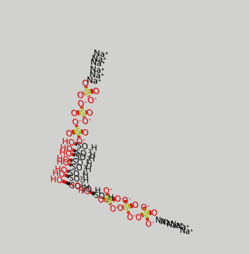 O=S(=O)(O)O.O=S(=O)(O)O.O=S(=O)(O)O.O=S(=O)(O)O.O=S(=O)(O)O.O=S(=O)(O)O.O=S(=O)(O)O.O=S(=O)(O)O.O=S(=O)(O)O.O=S(=O)(O)O.O=S(=O)([O-])[O-].O=S(=O)([O-])[O-].O=S(=O)([O-])[O-].O=S(=O)([O-])[O-].O=S(=O)([O-])[O-].O=S(=O)([O-])[O-].[Na+].[Na+].[Na+].[Na+].[Na+].[Na+].[Na+].[Na+].[Na+].[Na+].[Na+].[Na+]